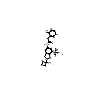 CC1(N2Cc3cc(NC(=O)Cc4ccccc4Cl)cc(S(C)(=O)=O)c3C2)COC1